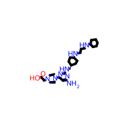 Nc1cc(N2CCN(CC(=O)O)CC2)nc(NC[C@H]2CC[C@H](NCCCNC3CCCCC3)CC2)n1